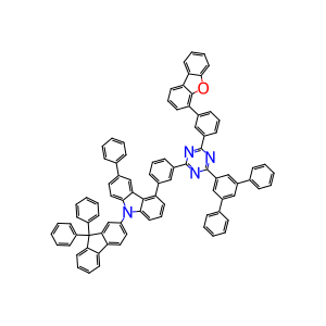 c1ccc(-c2cc(-c3ccccc3)cc(-c3nc(-c4cccc(-c5cccc6c5oc5ccccc56)c4)nc(-c4cccc(-c5cccc6c5c5cc(-c7ccccc7)ccc5n6-c5ccc6c(c5)C(c5ccccc5)(c5ccccc5)c5ccccc5-6)c4)n3)c2)cc1